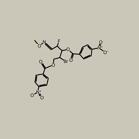 CON=CC(F)C(OC(=O)c1ccc([N+](=O)[O-])cc1)C(Br)COC(=O)c1ccc([N+](=O)[O-])cc1